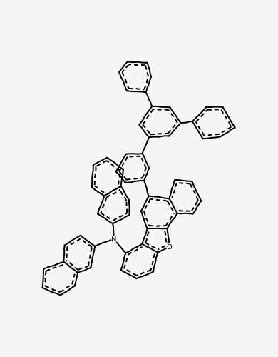 c1ccc(-c2cc(-c3ccccc3)cc(-c3cccc(-c4cc5c(oc6cccc(N(c7ccc8ccccc8c7)c7ccc8ccccc8c7)c65)c5ccccc45)c3)c2)cc1